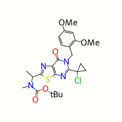 COc1ccc(Cn2c(C3(Cl)CC3)nc3sc(C(C)N(C)C(=O)OC(C)(C)C)nc3c2=O)c(OC)c1